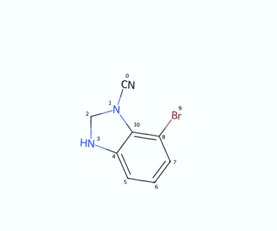 N#CN1CNc2cccc(Br)c21